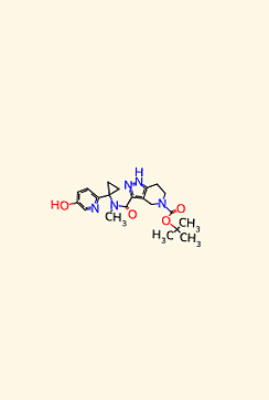 CN(C(=O)c1n[nH]c2c1CN(C(=O)OC(C)(C)C)CC2)C1(c2ccc(O)cn2)CC1